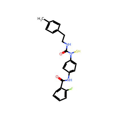 Cc1ccc(CCNC(=O)N(S)c2ccc(NC(=O)c3ccccc3F)cc2)cc1